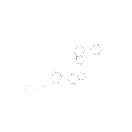 COc1cc(F)cc(-c2ccnc3[nH]c(-c4n[nH]c5cnc(-c6cncc(OCCN7CCCC7)c6)cc45)cc23)c1